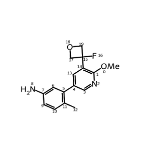 COc1ncc(-c2cc(N)ccc2C)cc1C1(F)COC1